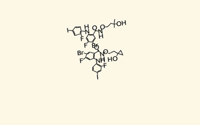 CC(C)(O)CCONC(=O)c1cc(Br)c(F)cc1Nc1ccc(I)cc1F.O=C(NOCCC1(O)CC1)c1cc(Br)c(F)cc1Nc1ccc(I)cc1F